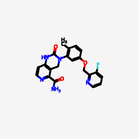 Cc1ccc(OCc2ncccc2F)cc1N1Cc2c(ccnc2C(N)=O)NC1=O